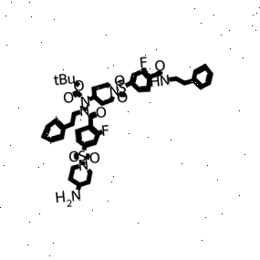 CC(C)(C)OC(=O)N(C1CCN(S(=O)(=O)c2ccc(C(=O)NCCc3ccccc3)c(F)c2)CC1)N(CCc1ccccc1)C(=O)c1ccc(S(=O)(=O)N2CCC(N)CC2)cc1F